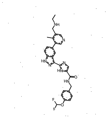 CCNCc1cncc(-c2ccc3[nH]nc(-c4ncc(C(=O)NCc5ccc(OC(F)F)cc5)[nH]4)c3c2)c1C